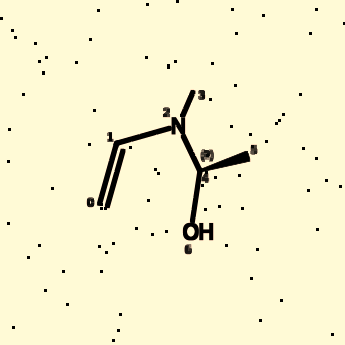 C=CN(C)[C@@H](C)O